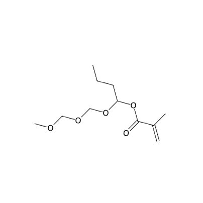 C=C(C)C(=O)OC(CCC)OCOCOC